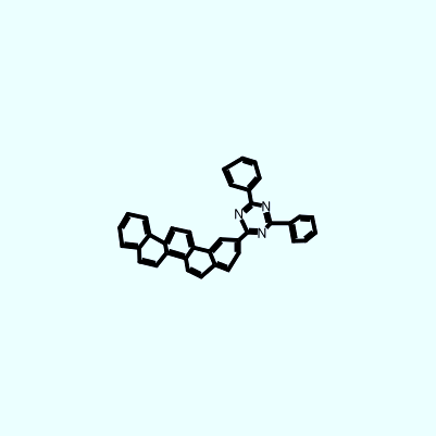 c1ccc(-c2nc(-c3ccccc3)nc(-c3ccc4ccc5c(ccc6c7ccccc7ccc65)c4c3)n2)cc1